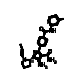 CC#CN1CCC[C@H]1c1nc(-c2ccc(C(=O)Nc3cc(C)ccn3)cc2)c(C(N)=O)n1N